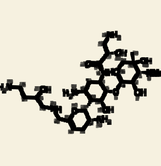 CN[C@@H]1[C@@H](O)[C@@H](O[C@H]2[C@H](NC(=O)[C@@H](O)CN)C[C@H](N)C([C@H]3OC(CNCC(O)CCN)=CC[C@H]3N)[C@@H]2O)OC[C@]1(C)O